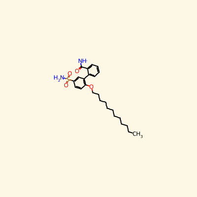 CCCCCCCCCCCCOc1ccc(S(N)(=O)=O)cc1-c1ccccc1C([NH])=O